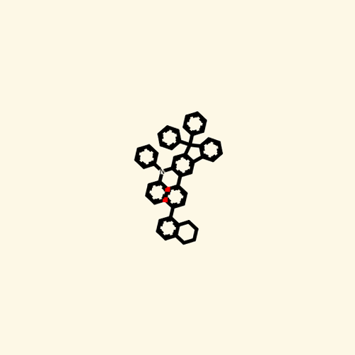 c1ccc(N(c2ccccc2)c2cc3c(cc2-c2ccc(-c4cccc5c4CCCC5)cc2)-c2ccccc2C3(c2ccccc2)c2ccccc2)cc1